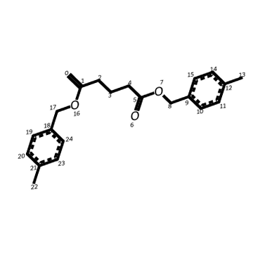 C=C(CCCC(=O)OCc1ccc(C)cc1)OCc1ccc(C)cc1